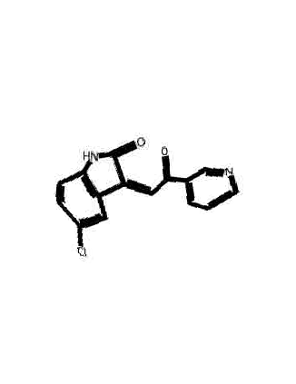 O=C1Nc2ccc(Cl)cc2C1=CC(=O)c1cccnc1